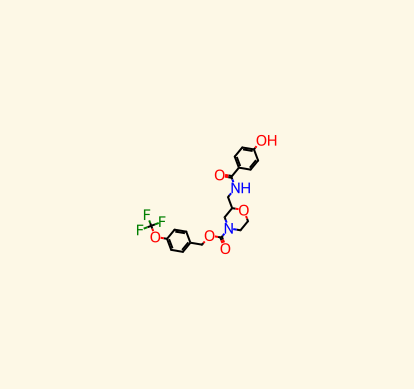 O=C(NCC1CN(C(=O)OCc2ccc(OC(F)(F)F)cc2)CCO1)c1ccc(O)cc1